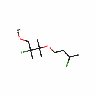 CC(F)CCOC(C)(C)C(C)(F)COC(C)C